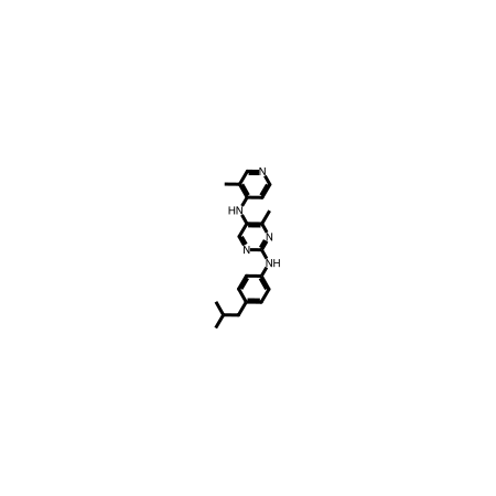 Cc1cnccc1Nc1cnc(Nc2ccc(CC(C)C)cc2)nc1C